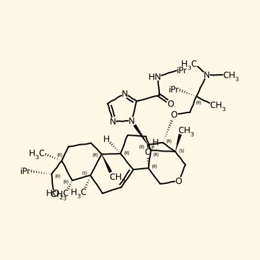 CC(C)NC(=O)c1ncnn1[C@@H]1C[C@@]23COC[C@](C)([C@@H]2CC[C@H]2C3=CC[C@@]3(C)[C@H](C(=O)O)[C@@](C)([C@H](C)C(C)C)CC[C@]23C)[C@H]1OC[C@@](C)(C(C)C)N(C)C